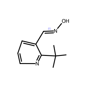 CC(C)(C)c1ncccc1/C=N/O